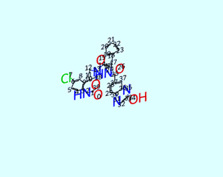 O=C1Nc2ccc(Cl)cc2C2(CCN(C(=O)[C@H](Cc3ccccc3)NC(=O)c3ccc4ncc(O)nc4c3)C2)O1